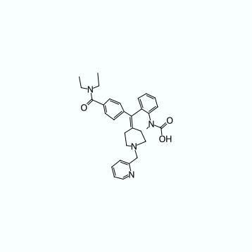 CCN(CC)C(=O)c1ccc(C(=C2CCN(Cc3ccccn3)CC2)c2ccccc2N(C)C(=O)O)cc1